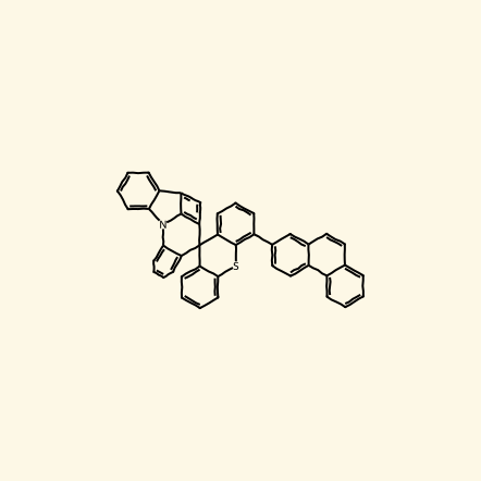 c1ccc2c(c1)Sc1c(-c3ccc4c(ccc5ccccc54)c3)cccc1C21c2ccccc2-n2c3ccccc3c3cccc1c32